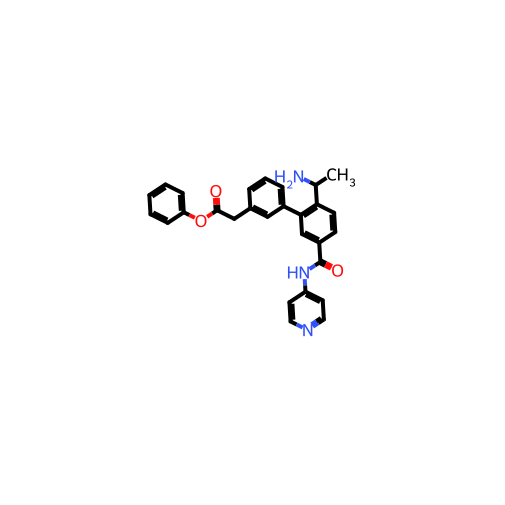 CC(N)c1ccc(C(=O)Nc2ccncc2)cc1-c1cccc(CC(=O)Oc2ccccc2)c1